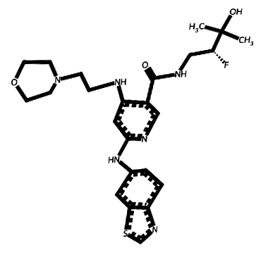 CC(C)(O)[C@H](F)CNC(=O)c1cnc(Nc2ccc3ncsc3c2)cc1NCCN1CCOCC1